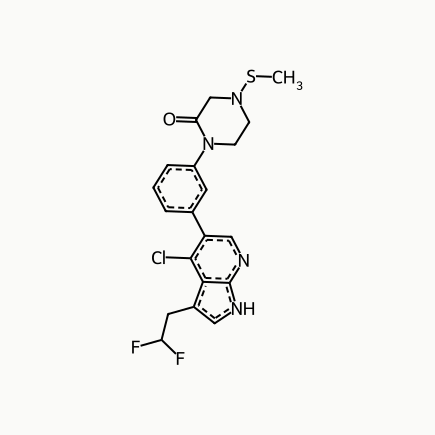 CSN1CCN(c2cccc(-c3cnc4[nH]cc(CC(F)F)c4c3Cl)c2)C(=O)C1